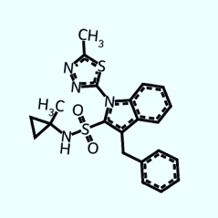 Cc1nnc(-n2c(S(=O)(=O)NC3(C)CC3)c(Cc3ccccc3)c3ccccc32)s1